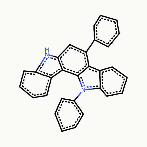 c1ccc(-c2cc3[nH]c4ccccc4c3c3c2c2ccccc2n3-c2ccccc2)cc1